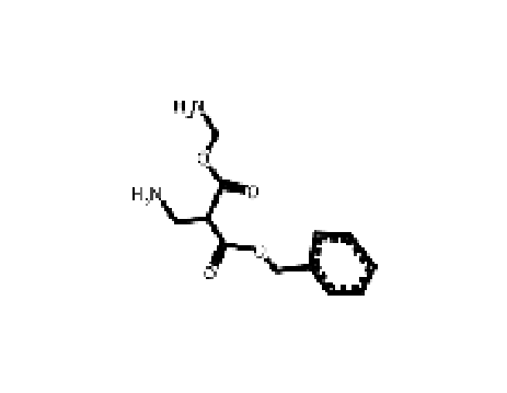 NCOC(=O)C(CN)C(=O)OCc1ccccc1